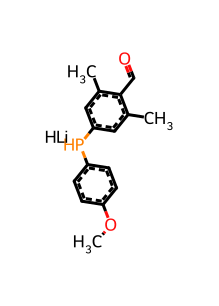 COc1ccc(Pc2cc(C)c(C=O)c(C)c2)cc1.[LiH]